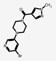 Cn1cc(C(=O)N2CCN(c3cncc(Br)c3)CC2)cn1